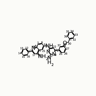 Nc1nc(Nc2ccc3nc(-c4ccccc4)cc(N)c3c2)cc(-c2cccc(OCc3ccccc3)c2)n1